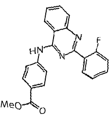 COC(=O)c1ccc(Nc2nc(-c3ccccc3F)nc3ccccc23)cc1